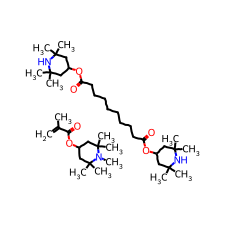 C=C(C)C(=O)OC1CC(C)(C)N(C)C(C)(C)C1.CC1(C)CC(OC(=O)CCCCCCCCC(=O)OC2CC(C)(C)NC(C)(C)C2)CC(C)(C)N1